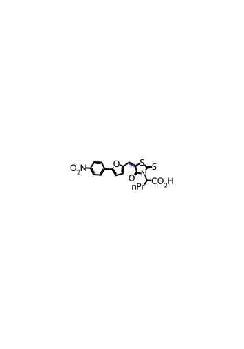 CCCC(C(=O)O)N1C(=O)/C(=C\c2ccc(-c3ccc([N+](=O)[O-])cc3)o2)SC1=S